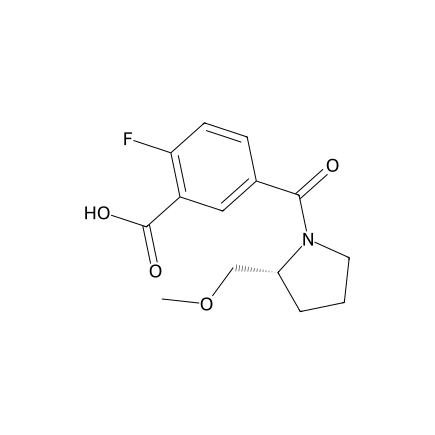 COC[C@H]1CCCN1C(=O)c1ccc(F)c(C(=O)O)c1